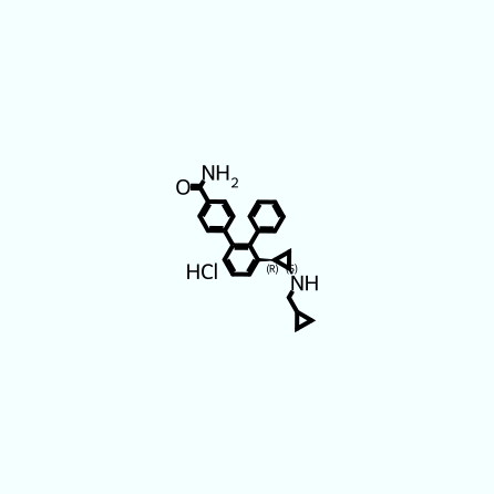 Cl.NC(=O)c1ccc(-c2cccc([C@H]3C[C@@H]3NCC3CC3)c2-c2ccccc2)cc1